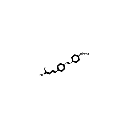 CCCCC[C@H]1CC[C@H](CC[C@H]2CC[C@H](/C=C/C=C(\F)C#N)CC2)CC1